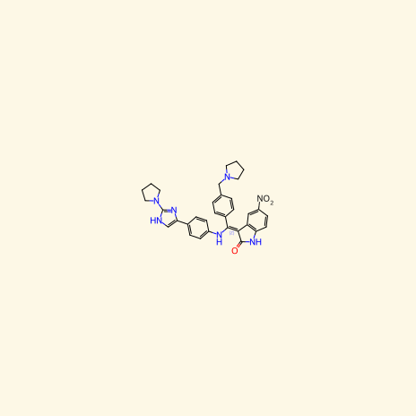 O=C1Nc2ccc([N+](=O)[O-])cc2/C1=C(/Nc1ccc(-c2c[nH]c(N3CCCC3)n2)cc1)c1ccc(CN2CCCC2)cc1